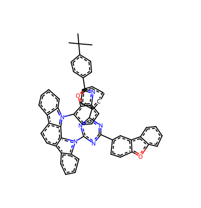 CC(C)(C)c1ccc(-c2nc3cccc(-n4c5ccccc5c5ccc6c7ccccc7n(-c7nc(-c8ccccc8)nc(-c8ccc9oc%10ccccc%10c9c8)n7)c6c54)c3o2)cc1